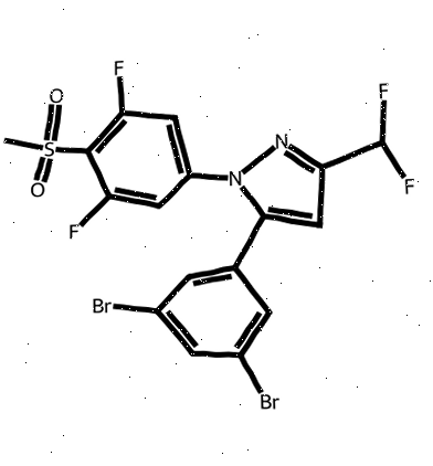 CS(=O)(=O)c1c(F)cc(-n2nc(C(F)F)cc2-c2cc(Br)cc(Br)c2)cc1F